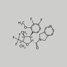 COc1c([C@H]2[C@H](C(=O)N3Cc4ccncc4C3)O[C@@](C)(C(F)(F)F)[C@H]2C)ccc(F)c1F